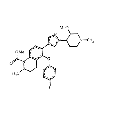 COC(=O)N1c2ccc(-c3cnn(C4CCN(C)CC4OC)c3)c(Oc3ccc(F)cc3)c2CCC1C